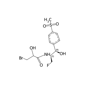 CS(=O)(=O)c1ccc([C@@H](O)[C@@H](CF)NC(=O)C(O)CBr)cc1